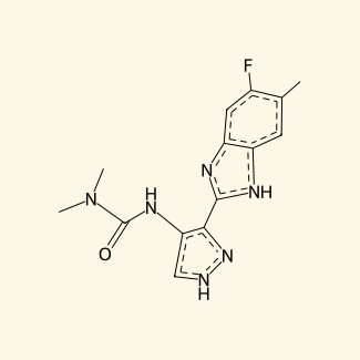 Cc1cc2[nH]c(-c3n[nH]cc3NC(=O)N(C)C)nc2cc1F